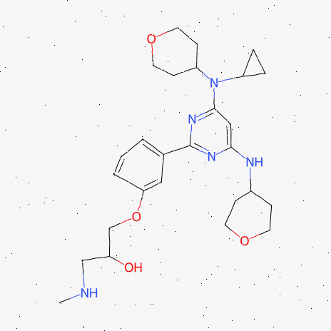 CNCC(O)COc1cccc(-c2nc(NC3CCOCC3)cc(N(C3CCOCC3)C3CC3)n2)c1